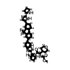 COC(=O)N[C@H](C(=O)N1C2CC[C@@H](C2)[C@H]1c1nc2ccc(-c3ccc4c(c3)C(F)(F)c3cc(-c5cnc([C@H]6CCCN6)[nH]5)ccc3-4)cc2[nH]1)C1CCOCC1